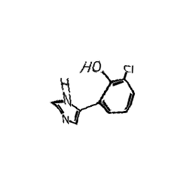 Oc1c(Cl)cccc1-c1cnc[nH]1